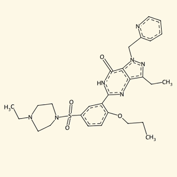 CCCOc1ccc(S(=O)(=O)N2CCN(CC)CC2)cc1-c1nc2c(CC)nn(Cc3ccccn3)c2c(=O)[nH]1